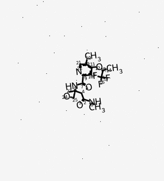 CNC(=O)CC1(NC(=O)c2cc(O[C@@H](C)C(F)(F)F)c(C)cn2)COC1